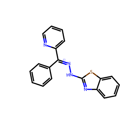 c1ccc(/C(=N\Nc2nc3ccccc3s2)c2ccccn2)cc1